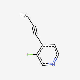 CC#Cc1ccncc1F